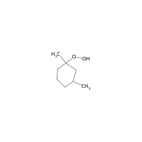 CC1CCCC(C)(OO)C1